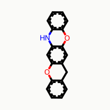 c1ccc2c(c1)Cc1cc3c(cc1O2)Nc1ccccc1O3